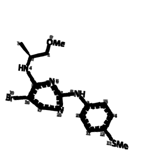 COC[C@H](C)Nc1nc(Nc2ccc(SC)cc2)ncc1Br